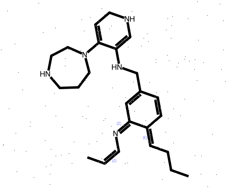 C\C=C/N=C1/C=C(CNC2=CNCC=C2N2CCCNCC2)C=C/C1=C\CCC